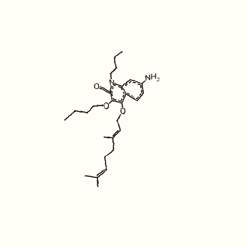 CCCCOc1c(OC/C=C(\C)CCC=C(C)C)c2ccc(N)cc2n(CCCC)c1=O